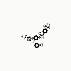 CCS(=O)(=O)c1ccc(CC(=O)Nc2ccc(-n3cnc(C)c3)c(Oc3cccc(Cl)c3)c2)cc1